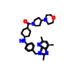 Cc1cc(C)c2nc(C)n(Cc3ccc(NC4CCC(C(=O)N5CCC(N6CCOCC6)CC5)CC4)cc3)c2n1